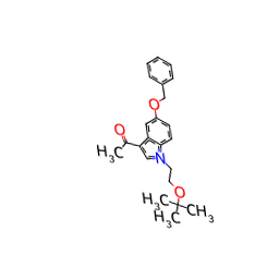 CC(=O)c1cn(CCOC(C)(C)C)c2ccc(OCc3ccccc3)cc12